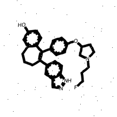 Oc1ccc2c(c1)CCCC(c1ccc3[nH]ncc3c1)=C2c1ccc(OC2CCN(CCCF)C2)cc1